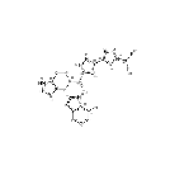 Cc1cccc2cc([C@@H]3c4nc[nH]c4CCN3C(=O)c3nnc(-c4ccn(C(F)F)n4)o3)nn12